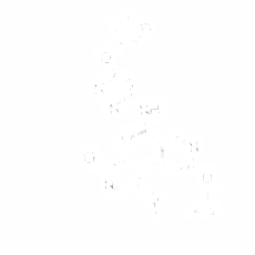 COc1cnc(Cl)cc1-c1cc(OC2CC2)ncc1C(=O)Nc1nnc(O[C@@H]2CCOC2)s1